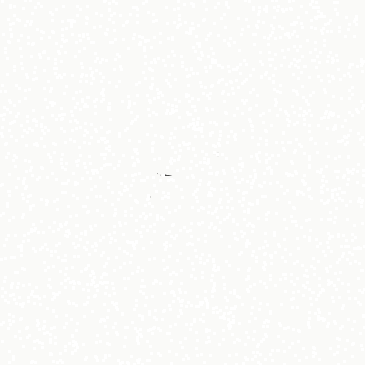 O=C1CC[C@@H](N2CC=C3C=CC=CN32)C(=O)N1